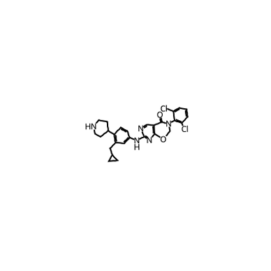 O=C1c2cnc(Nc3ccc(C4CCNCC4)c(CC4CC4)c3)nc2OCN1c1c(Cl)cccc1Cl